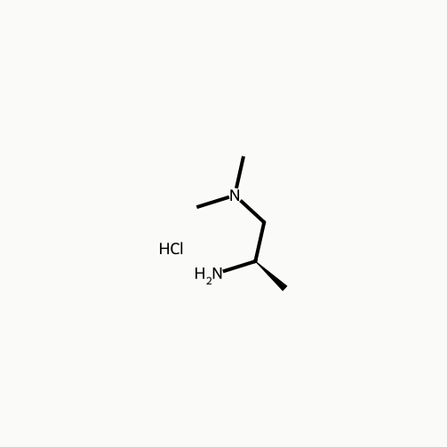 C[C@@H](N)CN(C)C.Cl